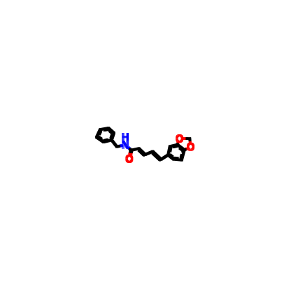 O=C(C=CC=Cc1ccc2c(c1)OCO2)NCc1ccccc1